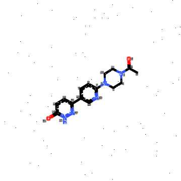 CC(=O)N1CCN(c2ccc(-c3ccc(=O)[nH]n3)cn2)CC1